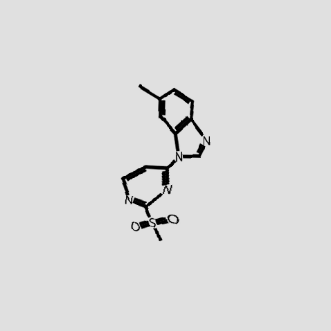 Cc1ccc2ncn(-c3ccnc(S(C)(=O)=O)n3)c2c1